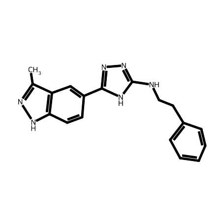 Cc1n[nH]c2ccc(-c3nnc(NCCc4ccccc4)[nH]3)cc12